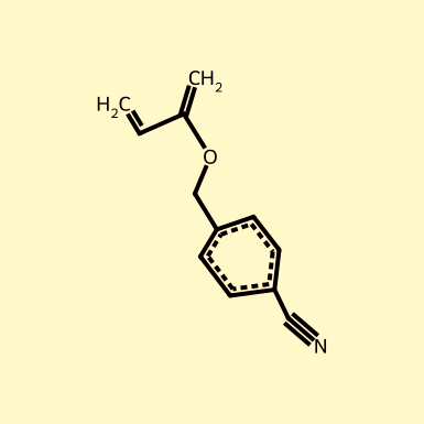 C=CC(=C)OCc1ccc(C#N)cc1